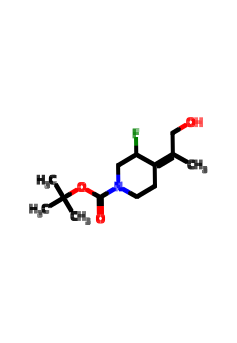 CC(CO)=C1CCN(C(=O)OC(C)(C)C)CC1F